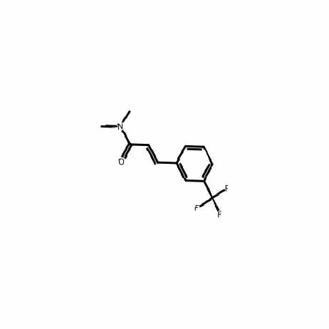 CN(C)C(=O)C=Cc1cccc(C(F)(F)F)c1